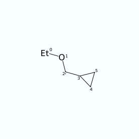 CCO[CH]C1CC1